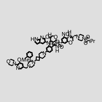 COc1cc(CN2CCN(C3CC4(CCN(c5ccc(C(=O)NS(=O)(=O)c6cc7c(c([N+](=O)[O-])c6)N[C@@H](CN6CCN(S(=O)(=O)C(C)C)CC6)CO7)c(N6c7cc8cc[nH]c8nc7O[C@H]7COCC[C@@H]76)c5)CC4)C3)[C@H](c3ccccc3C)C2)cnc1N1CCOCC1